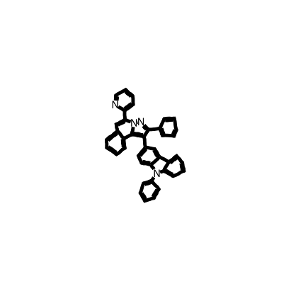 c1ccc(-c2nn3c(-c4ccccn4)cc4ccccc4c3c2-c2ccc3c(c2)c2ccccc2n3-c2ccccc2)cc1